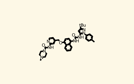 Cc1ccc(-n2nc(C(C)(C)C)cc2NC(=O)Nc2ccc(OCc3ccnc(NC(=O)N4CCN(C)CC4)c3)c3ccccc23)cc1